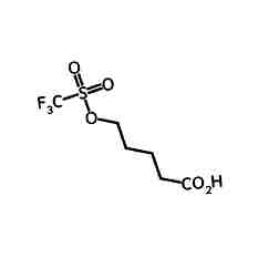 O=C(O)CCCCOS(=O)(=O)C(F)(F)F